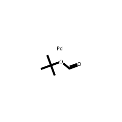 CC(C)(C)OC=O.[Pd]